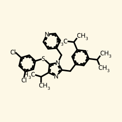 CC(C)c1[c]c(C(C)C)cc(Cc2nc(C(C)C)c(Sc3cc(Cl)cc(Cl)c3)n2Cc2ccncc2)c1